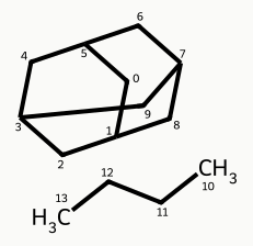 C1C2CC3CC1CC(C2)C3.CCCC